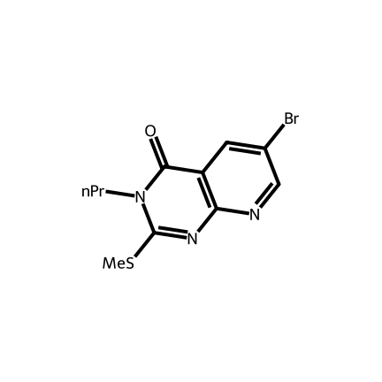 CCCn1c(SC)nc2ncc(Br)cc2c1=O